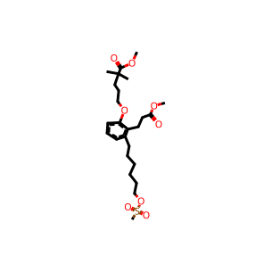 COC(=O)CCc1c(CCCCCCOS(C)(=O)=O)cccc1OCCCC(C)(C)C(=O)OC